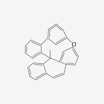 CC1(c2ccccc2C2=C=C=CC(Cl)=C2)c2ccccc2C=Cc2ccccc21